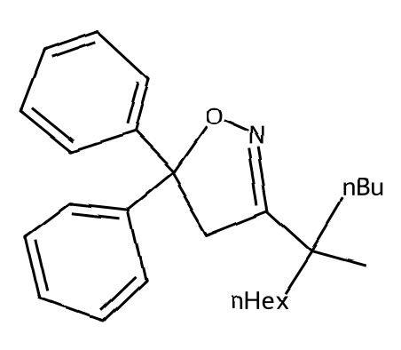 CCCCCCC(C)(CCCC)C1=NOC(c2ccccc2)(c2ccccc2)C1